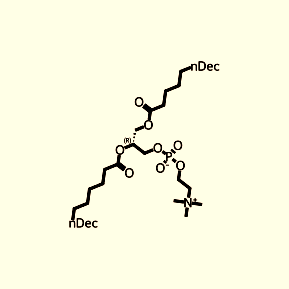 CCCCCCCCCCCCCCCC(=O)O[C@H](COC(=O)CCCCCCCCCCCCCC)COP(=O)([O-])OCC[N+](C)(C)C